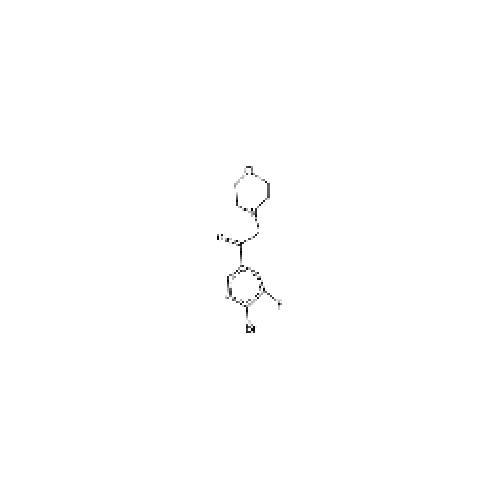 O=C(CN1CCOCC1)c1ccc(Br)c(F)c1